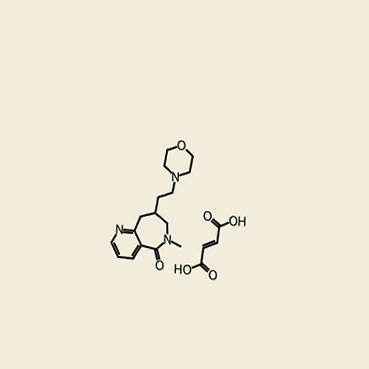 CN1CC(CCN2CCOCC2)Cc2ncccc2C1=O.O=C(O)/C=C/C(=O)O